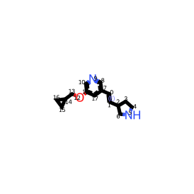 C(=C\C1CCNC1)/c1cncc(OCC2CC2)c1